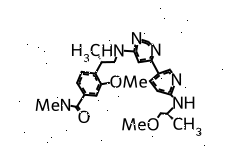 CNC(=O)c1ccc([C@H](C)CNc2cc(-c3ccc(N[C@@H](C)COC)nc3)ncn2)c(OC)c1